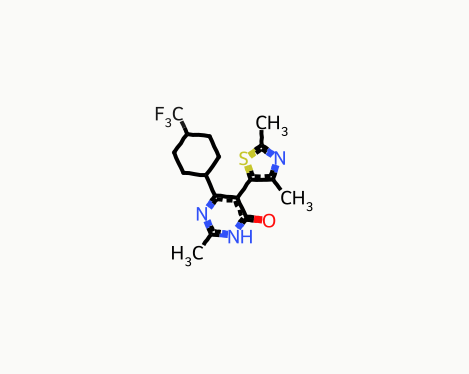 Cc1nc(C2CCC(C(F)(F)F)CC2)c(-c2sc(C)nc2C)c(=O)[nH]1